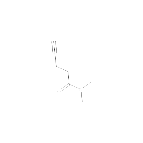 C#CCCC(=O)N(C)C